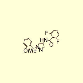 COc1ccccc1Cn1cc(NC(=O)c2c(F)cccc2F)cn1